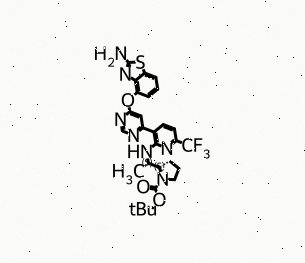 C[C@H](Nc1nc(C(F)(F)F)ccc1-c1cc(Oc2cccc3sc(N)nc23)ncn1)[C@@H]1CCCN1C(=O)OC(C)(C)C